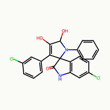 O=C1Nc2cc(Cl)ccc2C12C(c1cccc(Cl)c1)=C(O)C(O)N2c1ccccc1